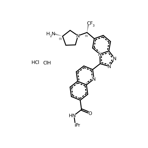 CC(C)NC(=O)c1ccc2ccc(-c3nnc4ccc([C@H](N5CC[C@H](N)C5)C(F)(F)F)cn34)nc2c1.Cl.Cl